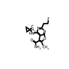 Cc1oc2nc(CCF)nc(NC3(C)CC3)c2c1C(N)=O